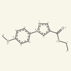 CCOC(=O)c1cnn(-c2ccc(OC)cc2)c1